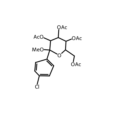 COC1(c2ccc(Cl)cc2)OC(COC(C)=O)C(OC(C)=O)C(OC(C)=O)C1OC(C)=O